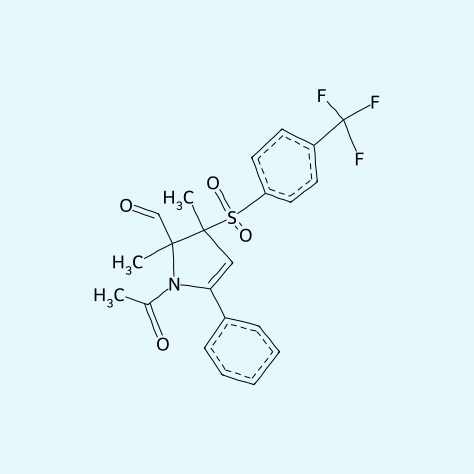 CC(=O)N1C(c2ccccc2)=CC(C)(S(=O)(=O)c2ccc(C(F)(F)F)cc2)C1(C)C=O